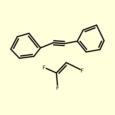 C(#Cc1ccccc1)c1ccccc1.FC=C(F)F